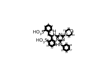 O=S(=O)(O)c1ccccc1C=C(Nc1nc(Nc2ccccc2)nc(N2CCOCC2)n1)c1ccccc1S(=O)(=O)O